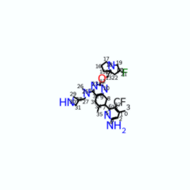 Cc1cc(N)nc(C2Cc3nc(OC[C@@]45CCCN4C[C@H](F)C5)nc(N(C)CC4CNC4)c3CC2C)c1C(F)(F)F